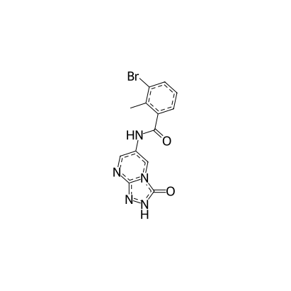 Cc1c(Br)cccc1C(=O)Nc1cnc2n[nH]c(=O)n2c1